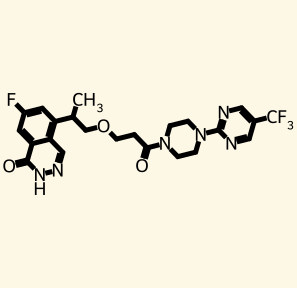 CC(COCCC(=O)N1CCN(c2ncc(C(F)(F)F)cn2)CC1)c1cc(F)cc2c(=O)[nH]ncc12